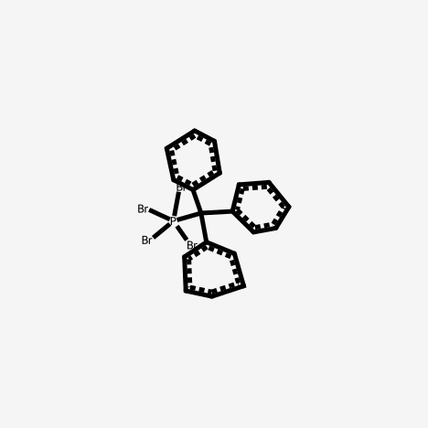 BrP(Br)(Br)(Br)C(c1ccccc1)(c1ccccc1)c1ccccc1